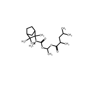 CC(C)CC(C)C(=O)OC(C)OC(=O)N(C)C1(C)C2CCC(C2)C1(C)C